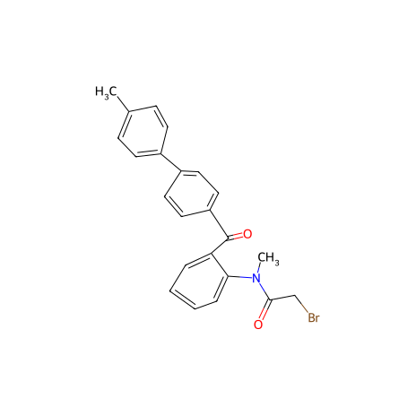 Cc1ccc(-c2ccc(C(=O)c3ccccc3N(C)C(=O)CBr)cc2)cc1